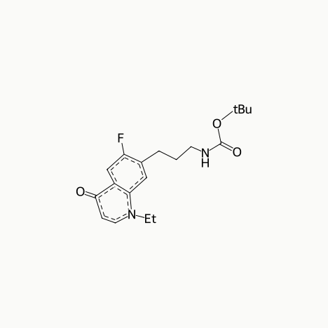 CCn1ccc(=O)c2cc(F)c(CCCNC(=O)OC(C)(C)C)cc21